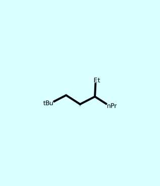 CCCC([CH]CC(C)(C)C)CC